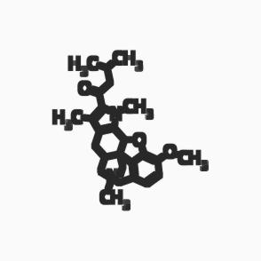 COc1ccc2c3c1OC1c4c(c(C)c(C(=O)CC(C)C)n4C)CC4C(C2)N(C)CCC314